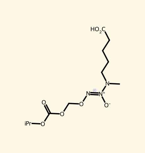 CC(C)OC(=O)OCO/N=[N+](\[O-])N(C)CCCCC(=O)O